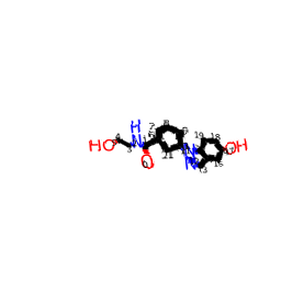 O=C(NCCO)c1cccc(-n2ncc3cc(O)ccc32)c1